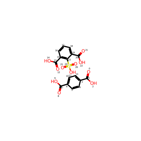 O=C(O)c1ccc(C(=O)O)cc1.O=C(O)c1cccc(C(=O)O)c1S(=O)(=O)O